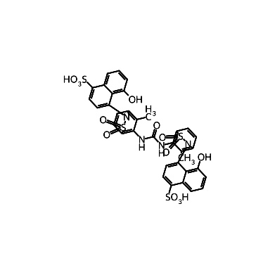 Cc1c2ccc(c1NC(=O)Nc1c3ccc(c1C)N(c1ccc(S(=O)(=O)O)c4cccc(O)c14)S3(=O)=O)S(=O)(=O)N2c1ccc(S(=O)(=O)O)c2cccc(O)c12